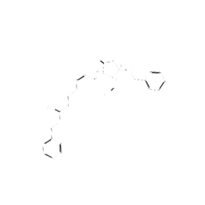 O=C[C@H]1[C@H](OCc2ccccc2)CC(=O)[C@@H]1C/C=C\CCCC(=O)OCc1ccccc1